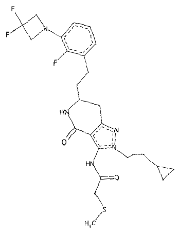 CSCC(=O)Nc1c2c(nn1CCC1CC1)CC(CCc1cccc(N3CC(F)(F)C3)c1F)NC2=O